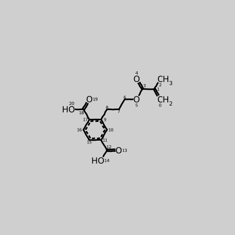 C=C(C)C(=O)OCCCc1cc(C(=O)O)ccc1C(=O)O